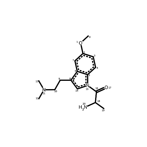 COc1ccc2c(c1)c(CCN(C)C)cn2C(=O)C(C)N